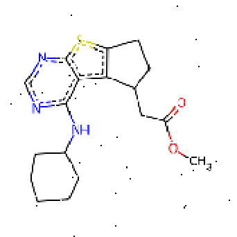 COC(=O)CC1CCc2sc3ncnc(NC4CCCCC4)c3c21